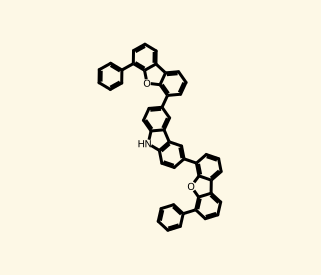 c1ccc(-c2cccc3c2oc2c(-c4ccc5[nH]c6ccc(-c7cccc8c7oc7c(-c9ccccc9)cccc78)cc6c5c4)cccc23)cc1